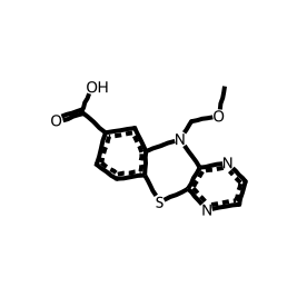 COCN1c2cc(C(=O)O)ccc2Sc2nccnc21